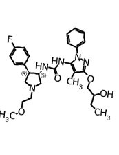 CCC(O)COc1nn(-c2ccccc2)c(NC(=O)N[C@@H]2CN(CCOC)C[C@H]2c2ccc(F)cc2)c1C